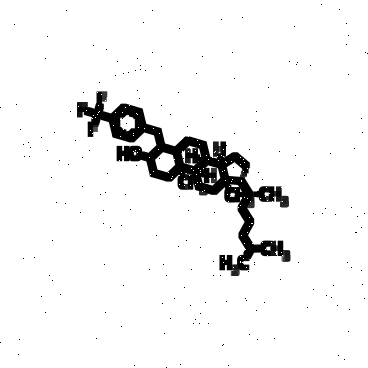 CC(C)CCC[C@@H](C)[C@H]1CC[C@H]2[C@@H]3CCC4C(Cc5ccc(C(F)(F)F)cc5)C(O)CC[C@]4(C)[C@H]3CC[C@]12C